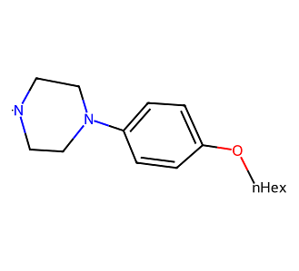 CCCCCCOc1ccc(N2CC[N]CC2)cc1